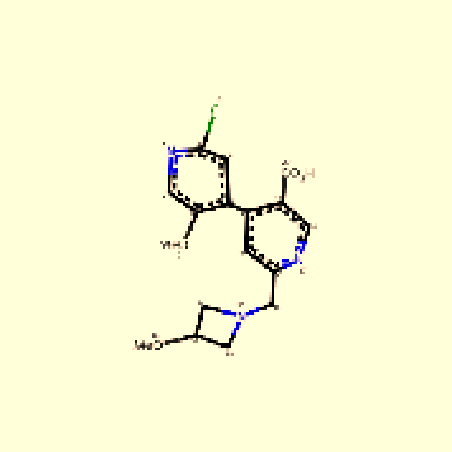 COc1cnc(Cl)cc1-c1cc(CN2CC(OC)C2)ncc1C(=O)O